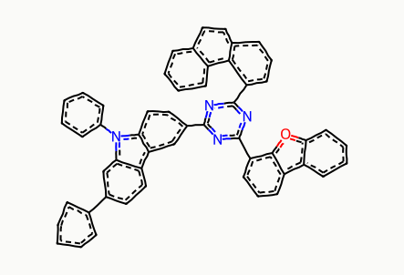 c1ccc(-c2ccc3c4cc(-c5nc(-c6cccc7c6oc6ccccc67)nc(-c6cccc7ccc8ccccc8c67)n5)ccc4n(-c4ccccc4)c3c2)cc1